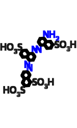 Nc1ccc(N=Nc2ccc(N=Nc3ccc4cc(S(=O)(=O)O)cc(S(=O)(=O)O)c4c3)c3ccc(S(=O)(=O)O)cc23)c2ccc(S(=O)(=O)O)cc12